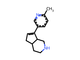 Cc1ccc(C2=CCC3CCNCC23)cn1